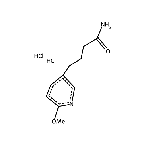 COc1ccc(CCCC(N)=O)cn1.Cl.Cl